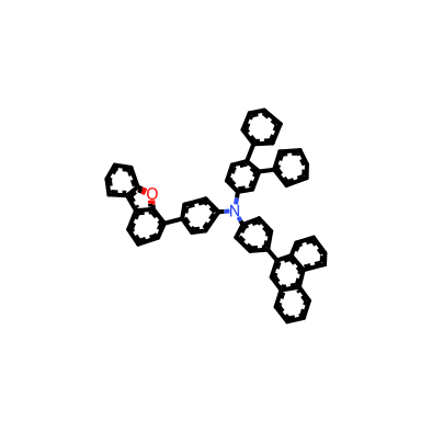 c1ccc(-c2ccc(N(c3ccc(-c4cc5ccccc5c5ccccc45)cc3)c3ccc(-c4cccc5c4oc4ccccc45)cc3)cc2-c2ccccc2)cc1